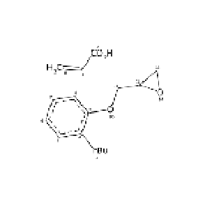 C=CC(=O)O.CCCCc1ccccc1OCC1CO1